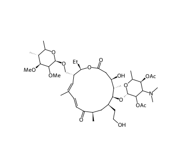 CC[C@H]1OC(=O)C[C@@H](O)[C@H](C)[C@@H](O[C@@H]2OC(C)[C@@H](OC(C)=O)C(N(C)C)C2OC(C)=O)[C@@H](CCO)C[C@@H](C)C(=O)/C=C/C(C)=C/[C@@H]1CO[C@@H]1OC(C)[C@@H](C)[C@H](OC)C1OC